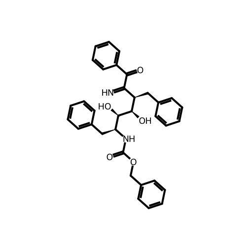 N=C(C(=O)c1ccccc1)[C@@H](Cc1ccccc1)[C@@H](O)[C@H](O)[C@H](Cc1ccccc1)NC(=O)OCc1ccccc1